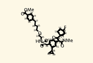 CNC(=O)c1c(-c2ccc(F)cc2)oc2cc(CS(=O)(=O)NCCOCCCCc3ccc(C(=O)OC)cc3)c(C3CC3)cc12